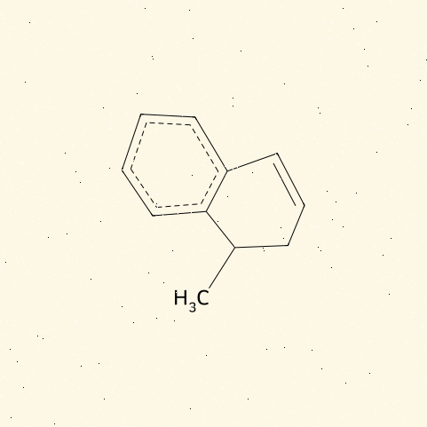 CC1CC=Cc2ccccc21